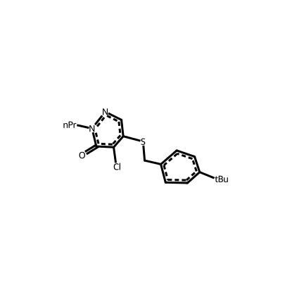 CCCn1ncc(SCc2ccc(C(C)(C)C)cc2)c(Cl)c1=O